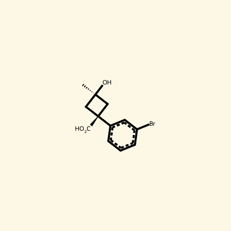 C[C@]1(O)C[C@](C(=O)O)(c2cccc(Br)c2)C1